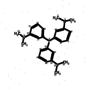 CN(C)c1cccc(P(c2cccc(N(C)C)c2)c2cccc(N(C)C)c2)c1